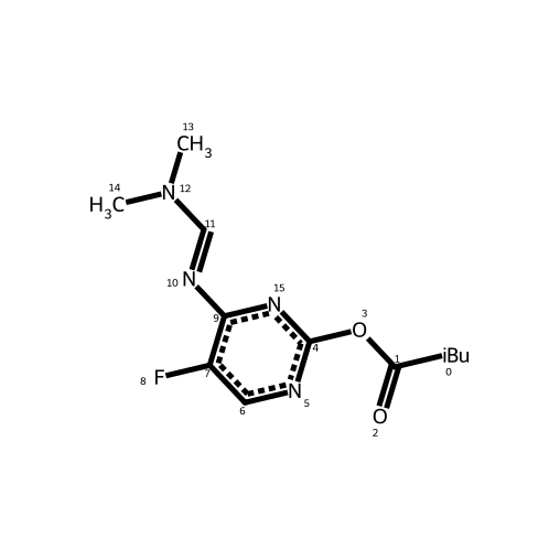 CCC(C)C(=O)Oc1ncc(F)c(/N=C/N(C)C)n1